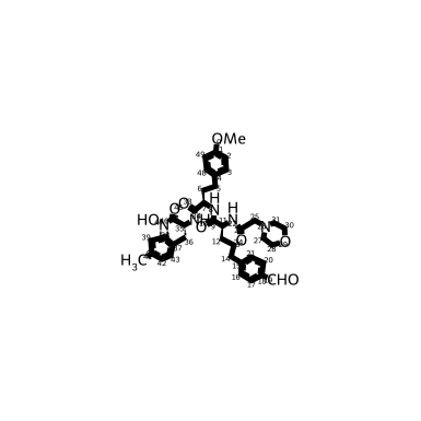 COc1ccc(CC[C@@H](NC(=O)[C@H](CCCc2ccc(C=O)cc2)NC(=O)CN2CCOCC2)C(=O)N[C@H](Cc2ccc(C)cc2)C(=O)NO)cc1